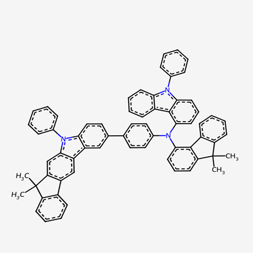 CC1(C)c2ccccc2-c2cc3c4cc(-c5ccc(N(c6cccc7c6-c6ccccc6C7(C)C)c6cccc7c6c6ccccc6n7-c6ccccc6)cc5)ccc4n(-c4ccccc4)c3cc21